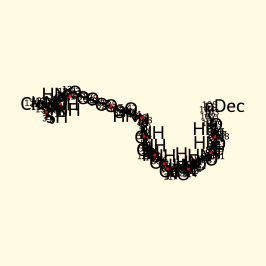 C=[SH]/C(C)=C(/C)C1=CN(C(C)=N)C(=N)[C@H](CC(=O)Nc2ccc(OCCOCCOCCOCCOCCOCCC(=O)NCCCN(C)CCCNC(=O)CCNC(=O)c3nc(NC(=O)CCNC(=O)c4cc(NC(=O)c5nc(NC(=O)CCNC(=O)c6cc(NC(=O)c7cc(NC(=O)CCCCCCCCCCCCCCC)cn7C)cn6C)cn5C)cn4C)cn3C)cc2)N=C1c1ccc(Cl)cc1